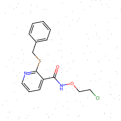 O=C(NOCCCl)c1cccnc1SCc1ccccc1